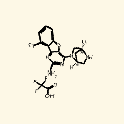 Nc1nc(N2C[C@@H]3C[C@H]2CN3)c2oc3cccc(Cl)c3c2n1.O=C(O)C(F)(F)F